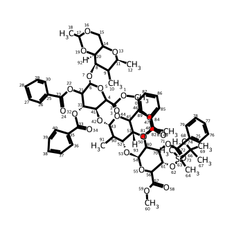 COC(=O)C1O[C@@H](O[C@@H]2C(C)[C@H](C)OC3COC(C)O[C@@H]32)C(OC(=O)c2ccccc2)[C@@H](OC(=O)c2ccccc2)[C@@H]1O[C@@H]1OC2COC(C)O[C@@H]2[C@H](O[C@@H]2OC(C(=O)OC)[C@@H](O[Si](C)(C)C(C)(C)C)[C@H](OC(=O)c3ccccc3)C2OC(=O)c2ccccc2)C1C